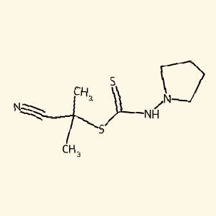 CC(C)(C#N)SC(=S)NN1CCCC1